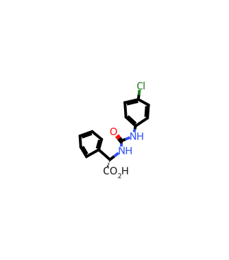 O=C(Nc1ccc(Cl)cc1)N[C@H](C(=O)O)c1ccccc1